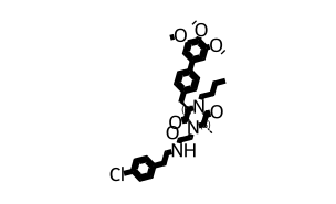 CCCCN1C(=O)[C@H](C)N(CC(=O)NCCc2ccc(Cl)cc2)C(=O)[C@H]1Cc1ccc(-c2cc(OC)c(OC)c(OC)c2)cc1